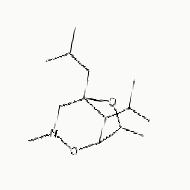 CC(C)CC12CN(C)OC(C(C)O1)C2C(C)C